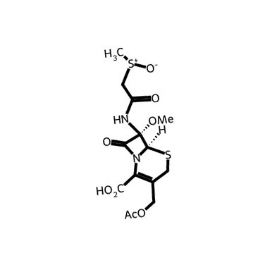 CO[C@@]1(NC(=O)C[S+](C)[O-])C(=O)N2C(C(=O)O)=C(COC(C)=O)CS[C@@H]21